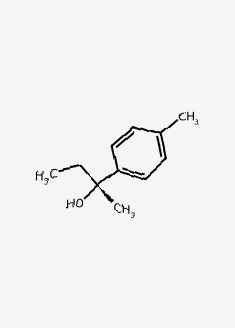 CC[C@@](C)(O)c1ccc(C)cc1